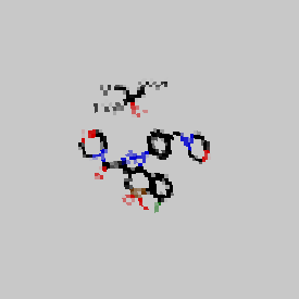 O=C(O)CC(O)(CC(=O)O)C(=O)O.O=C(c1nn(-c2ccc(CN3CCOCC3)cc2)c2c1CS(=O)(=O)c1c(F)cccc1-2)N1CCOCC1